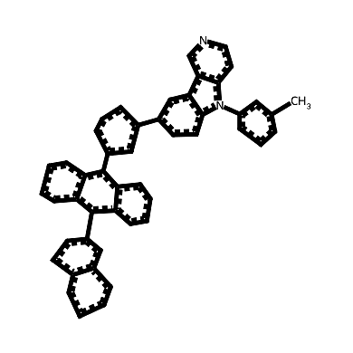 Cc1cccc(-n2c3ccncc3c3cc(-c4cccc(-c5c6ccccc6c(-c6ccc7ccccc7c6)c6ccccc56)c4)ccc32)c1